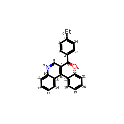 CCc1ccc(C(=O)c2cnc3ccccc3c2-c2ccccc2)cc1